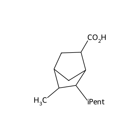 CCCC(C)C1C(C)C2CC(C(=O)O)C1C2